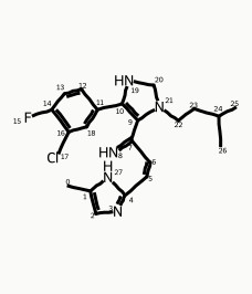 Cc1cnc(/C=C\C(=N)C2=C(c3ccc(F)c(Cl)c3)NCN2CCC(C)C)[nH]1